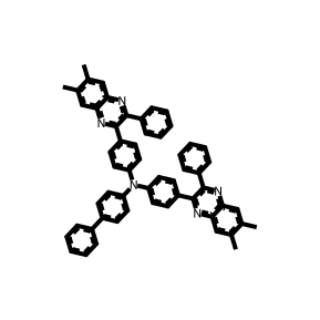 Cc1cc2nc(-c3ccccc3)c(-c3ccc(N(c4ccc(-c5ccccc5)cc4)c4ccc(-c5nc6cc(C)c(C)cc6nc5-c5ccccc5)cc4)cc3)nc2cc1C